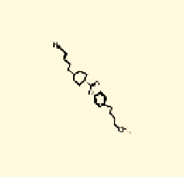 CCCCCc1ccc(OC(=O)[C@H]2CC[C@H](CCC=CC#N)CC2)cc1